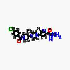 CC[C@H]1CN(c2ccc(C(=O)NN)nc2C)CCN1C1CCN(C(=O)c2ccc(Cl)cc2)CC1